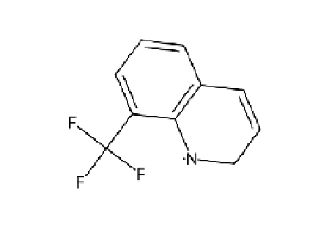 FC(F)(F)c1cccc2c1[N]CC=C2